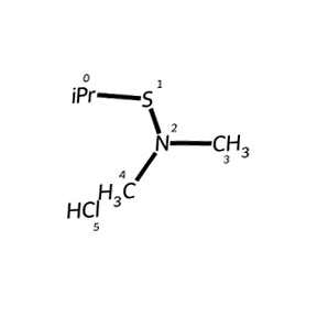 CC(C)SN(C)C.Cl